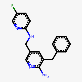 Nc1ncc(CNc2ccc(F)cn2)cc1Cc1ccccc1